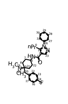 CCCc1c(C(=O)NC2CCC(Cc3ccc(F)cc3)(N(C)C)CC2)cnn1-c1ccccc1